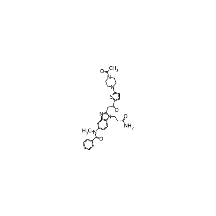 CC(=O)N1CCN(c2ccc(C(=O)Cc3nc4cc(N(C)C(=O)c5ccccc5)ccc4n3CCC(N)=O)s2)CC1